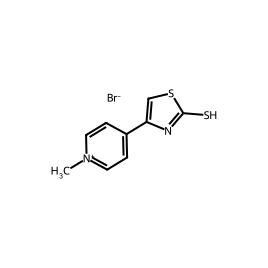 C[n+]1ccc(-c2csc(S)n2)cc1.[Br-]